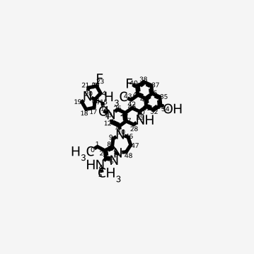 CCc1c(NC)nn2c1CN(C1=CN(OC[C@@]34CCCN3C[C@H](F)C4)CC3=C1CNC(c1cc(O)cc4ccc(F)c(CC)c14)C3)CCC2